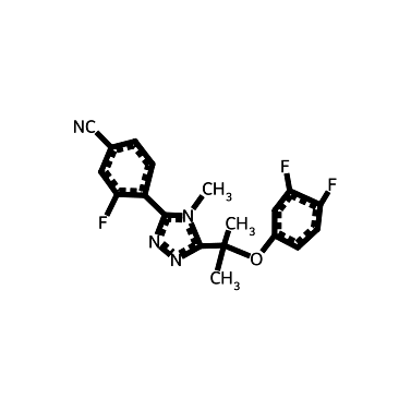 Cn1c(-c2ccc(C#N)cc2F)nnc1C(C)(C)Oc1ccc(F)c(F)c1